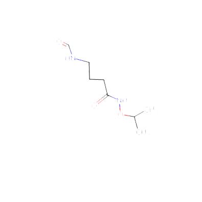 CC(C)ONC(=O)CCCNC=O